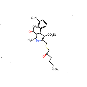 CCOC(=O)C1=C(CSCC(=O)CCCNC(C)=O)NC(C)=C(C(=O)OC)C1c1cccc([N+](=O)[O-])c1